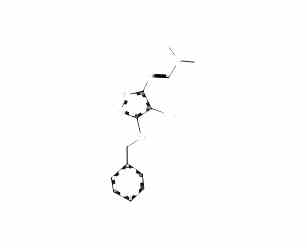 CN(C)C=Nc1[nH]nc(NCc2ccccc2)c1C#N